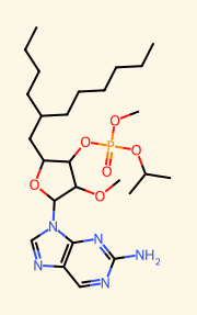 CCCCCCC(CCCC)CC1OC(n2cnc3cnc(N)nc32)C(OC)C1OP(=O)(OC)OC(C)C